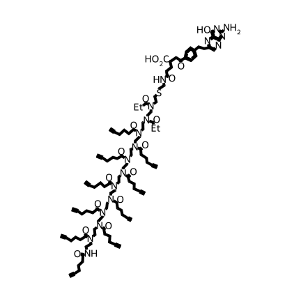 C#CCCCC(=O)NCCN(CCN(CCN(CCN(CCN(CCN(CCN(CCN(CCN(CCN(CCN(CCSCCNC(=O)CCC(CC(=O)c1ccc(CCc2cnc3nc(N)nc(O)c3n2)cc1)C(=O)O)C(=O)CC)C(=O)CC)C(=O)CCCC#C)C(=O)CCCC#C)C(=O)CCCC#C)C(=O)CCCC#C)C(=O)CCCC#C)C(=O)CCCC#C)C(=O)CCCC#C)C(=O)CCCC#C)C(=O)CCCC#C